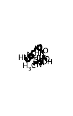 Cc1csc2c(NC(CNC(=O)[C@@H]3CCCN(CCCc4ccc5c(n4)NCCC5)C3)C(=O)O)ncnc12